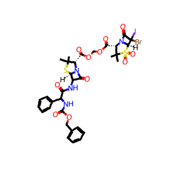 CC1(C)S[C@@H]2C(NC(=O)C(NC(=O)OCc3ccccc3)c3ccccc3)C(=O)N2[C@H]1C(=O)OCOC(=O)[C@@H]1N2C(=O)C(Br)(I)[C@H]2S(=O)(=O)C1(C)C